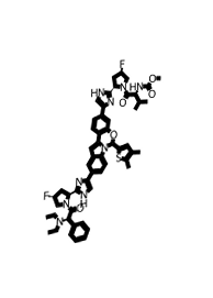 CCN(CC)[C@@H](C(=O)N1C[C@H](F)C[C@H]1c1nc(-c2ccc3c(c2)cc2n3C(c3cc(C)c(C)s3)Oc3cc(-c4c[nH]c([C@@H]5C[C@@H](F)CN5C(=O)[C@@H](NC(=O)OC)C(C)C)n4)ccc3-2)c[nH]1)c1ccccc1